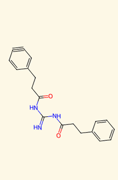 N=C(NC(=O)CCc1cc#ccc1)NC(=O)CCc1ccccc1